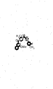 COc1nc(C(=O)N2CCN(C(=O)c3ncn(-c4ccc(C)c(F)c4)n3)C(C)(C)C2)cc2ccccc12